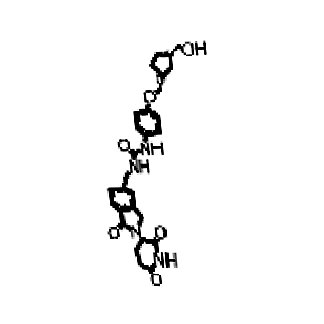 O=C1CCC(N2Cc3cc(CNC(=O)Nc4ccc(OC[C@H]5CC[C@@H](CO)C5)cc4)ccc3C2=O)C(=O)N1